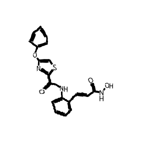 O=C(/C=C/c1ccccc1NC(=O)c1nc(Oc2ccccc2)cs1)NO